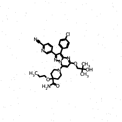 CCCOC1(C(N)=O)CCN(c2cc(OCC(C)(C)O)nc3c(-c4ccc(Cl)cc4)c(-c4ccc(C#N)nc4)nn23)CC1